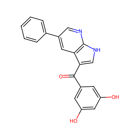 O=C(c1cc(O)cc(O)c1)c1c[nH]c2ncc(-c3ccccc3)cc12